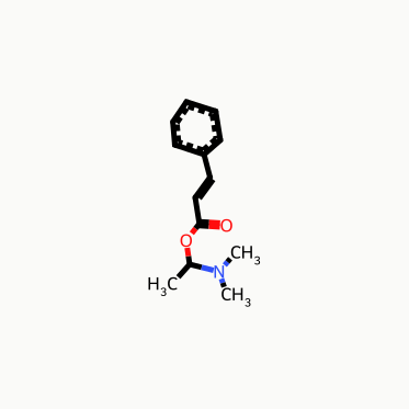 CC(OC(=O)C=Cc1ccccc1)N(C)C